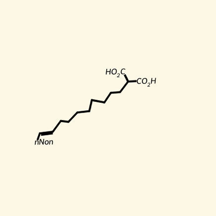 CCCCCCCCCC=CCCCCCCCCC(C(=O)O)C(=O)O